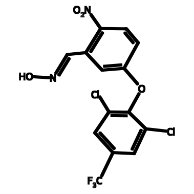 O=[N+]([O-])c1ccc(Oc2c(Cl)cc(C(F)(F)F)cc2Cl)cc1C=NO